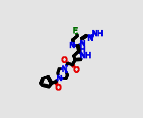 N=N/C=C\NC(/N=C\CF)=C1/CC(C(=O)C(=O)N2CCN(C(=O)c3ccccc3)CC2)=CN1